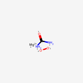 NC(N)=O.[Mg+2].[O-][O-]